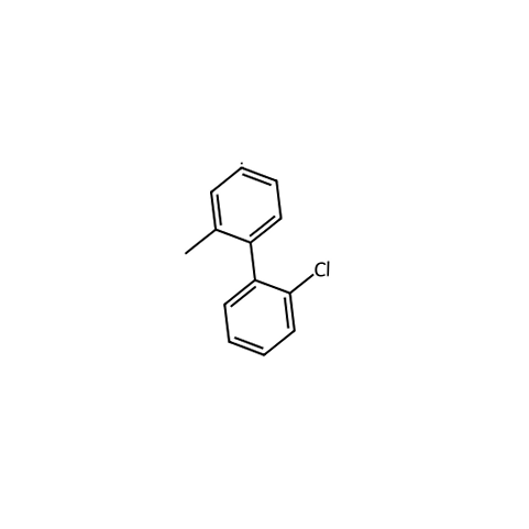 Cc1c[c]ccc1-c1ccccc1Cl